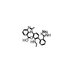 CCNc1cc(-n2c(C)nc3cccc(C(=O)O)c32)ccc1-c1ccccc1-c1nnn[nH]1